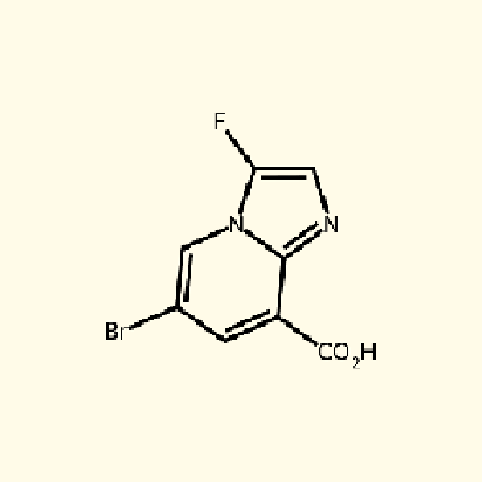 O=C(O)c1cc(Br)cn2c(F)cnc12